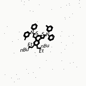 CCCCC(CC)Cc1cc2c3c(c4sc(N(c5ccccc5)c5cccc(C)c5)cc4c2cc1CC(CC)CCCC)SC(N(c1ccccc1)c1cccc(C)c1)C3